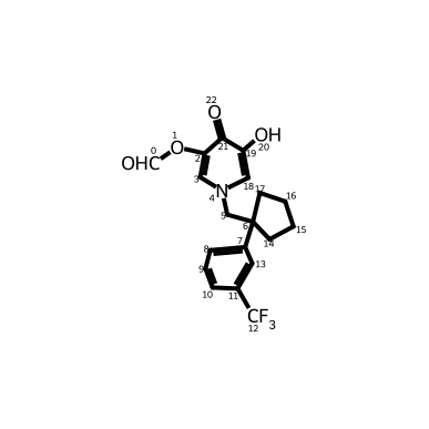 O=COc1cn(CC2(c3cccc(C(F)(F)F)c3)CCCC2)cc(O)c1=O